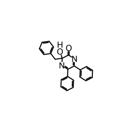 O=C1N=C(c2ccccc2)C(c2ccccc2)=NC1(O)Cc1ccccc1